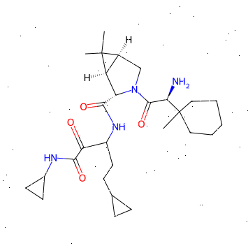 CC1([C@H](N)C(=O)N2C[C@H]3[C@@H]([C@H]2C(=O)NC(CCC2CC2)C(=O)C(=O)NC2CC2)C3(C)C)CCCCC1